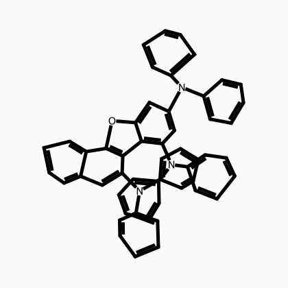 c1ccc(N(c2ccccc2)c2cc(N(c3ccccc3)c3ccccc3)c3c(c2)oc2c4ccccc4cc(N(c4ccccc4)c4ccccc4)c23)cc1